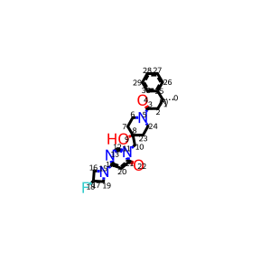 C[C@H](CC(=O)N1CCC(O)(Cn2cnc(N3CC(F)C3)cc2=O)CC1)c1ccccc1